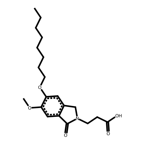 CCCCCCCCOc1cc2c(cc1OC)C(=O)N(CCC(=O)O)C2